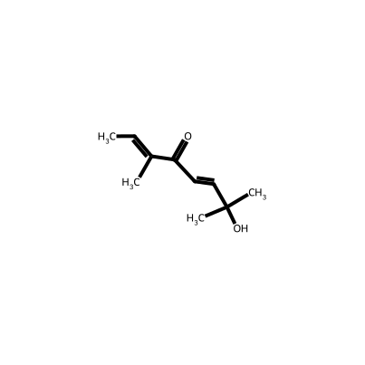 C/C=C(\C)C(=O)/C=C/C(C)(C)O